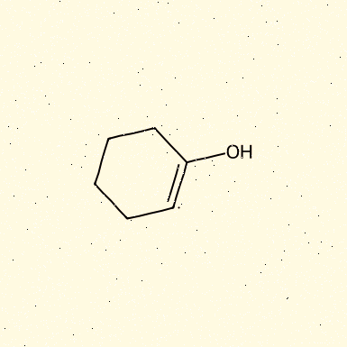 OC1=[C]CCCC1